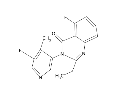 CCc1nc2cccc(F)c2c(=O)n1-c1cncc(F)c1C